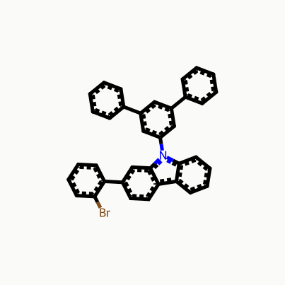 Brc1ccccc1-c1ccc2c3ccccc3n(-c3cc(-c4ccccc4)cc(-c4ccccc4)c3)c2c1